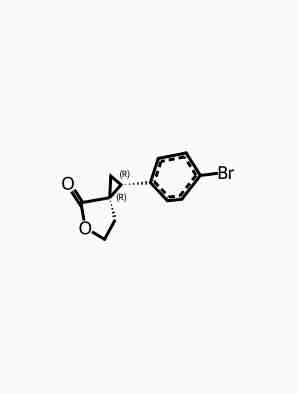 O=C1OCC[C@@]12C[C@@H]2c1ccc(Br)cc1